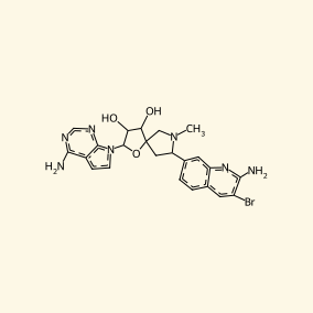 CN1CC2(CC1c1ccc3cc(Br)c(N)nc3c1)OC(n1ccc3c(N)ncnc31)C(O)C2O